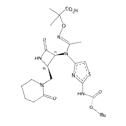 CC(=NOC(C)(C)C(=O)O)N(c1csc(NC(=O)OC(C)(C)C)n1)[C@@H]1C(=O)N[C@@H]1CN1CCCCC1=O